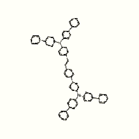 C(=Cc1ccc(N(c2ccc(-c3ccccc3)cc2)c2ccc(-c3ccccc3)cc2)cc1)c1ccc(-c2ccc(N(c3ccc(-c4ccccc4)cc3)c3ccc(-c4ccccc4)cc3)cc2)cc1